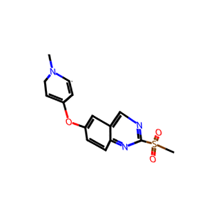 CN1[C]=CC(Oc2ccc3nc(S(C)(=O)=O)ncc3c2)=CC1